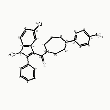 Cn1c(-c2ccccc2)c(C(=O)N2CCCN(c3ccc([N+](=O)[O-])cn3)CC2)c2cc(Cl)ccc21